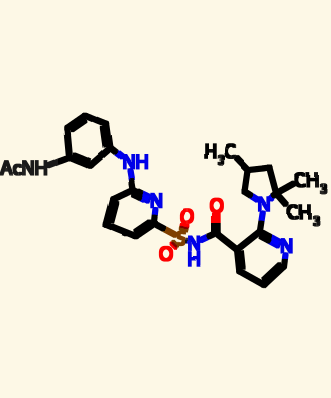 CC(=O)Nc1cccc(Nc2cccc(S(=O)(=O)NC(=O)c3cccnc3N3CC(C)CC3(C)C)n2)c1